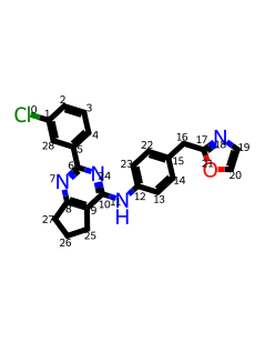 Clc1cccc(-c2nc3c(c(Nc4ccc(Cc5ncco5)cc4)n2)CCC3)c1